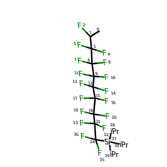 CC(F)C(F)(F)C(F)(F)C(F)(F)C(F)(F)C(F)(F)C(F)(F)C(F)(F)C(F)(F)[Si](C(C)C)(C(C)C)C(C)C